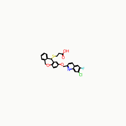 O=C(O)CCSC1c2ccccc2COc2ccc(OCc3ccc4cc(F)c(Cl)cc4n3)cc21